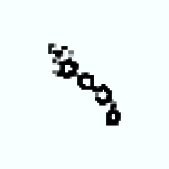 Fc1cc([C@H]2CC[C@H]([C@H]3CC[C@H](CC4CCCC4)CC3)CC2)cc(F)c1OC(F)F